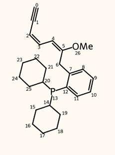 C#C/C=C\C=C(/Cc1ccccc1P(C1CCCCC1)C1CCCCC1)OC